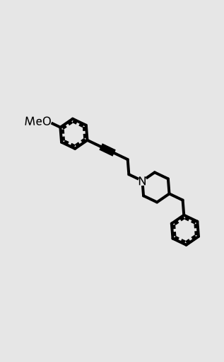 COc1ccc(C#CCCN2CCC(Cc3ccccc3)CC2)cc1